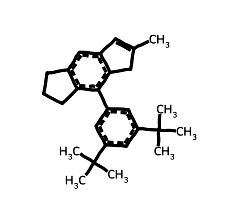 CC1=Cc2cc3c(c(-c4cc(C(C)(C)C)cc(C(C)(C)C)c4)c2C1)CCC3